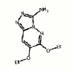 CCOc1cc2nnc(N)n2nc1OCC